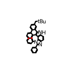 CC(C)(C)Cc1ccc2c3ccccc3c3c([nH]c4ccc5nc(-c6ccccc6)n(-c6ccccc6)c5c43)c2c1